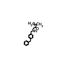 CN(C)C(=O)CNCc1ccc(Cc2ccccc2)cc1